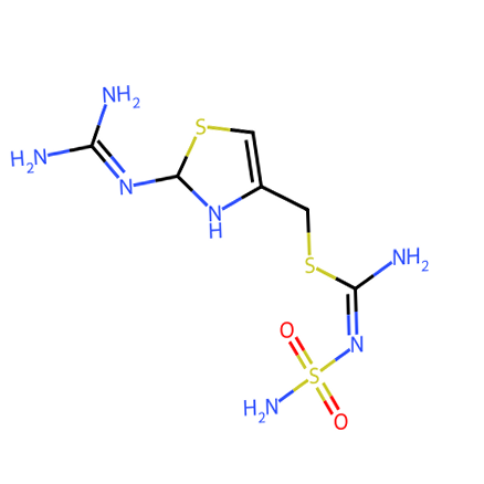 NC(N)=NC1NC(CS/C(N)=N\S(N)(=O)=O)=CS1